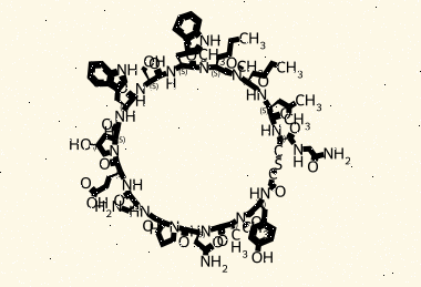 CCCC[C@H]1C(=O)N(C)[C@@H](CCCC)C(=O)N[C@@H](CC(C)C)C(=O)N[C@H](C(=O)NCC(N)=O)CSCC(=O)N[C@@H](Cc2ccc(O)cc2)C(=O)N(C)[C@@H](C)C(=O)N[C@@H](CC(N)=O)C(=O)N2CCC[C@H]2C(=O)N[C@@H](CN)C(=O)N[C@@H](CCC(=O)O)C(=O)N2C[C@H](O)C[C@H]2C(=O)N[C@@H](Cc2c[nH]c3ccccc23)C(=O)N[C@@H](CO)C(=O)N[C@@H](Cc2c[nH]c3ccccc23)C(=O)N1C